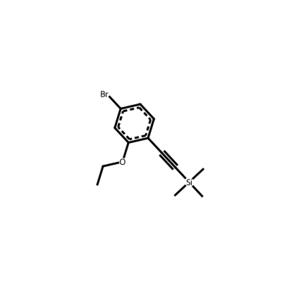 CCOc1cc(Br)ccc1C#C[Si](C)(C)C